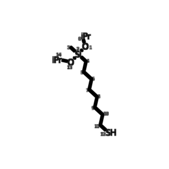 CC(C)O[Si](C)(CCCCCCCCS)OC(C)C